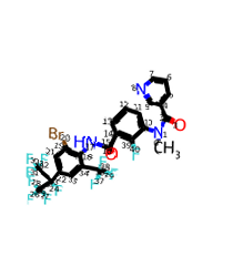 CN(C(=O)c1cccnc1)c1cccc(C(=O)Nc2c(Br)cc(C(F)(C(F)(F)F)C(F)(F)F)cc2C(F)(F)F)c1F